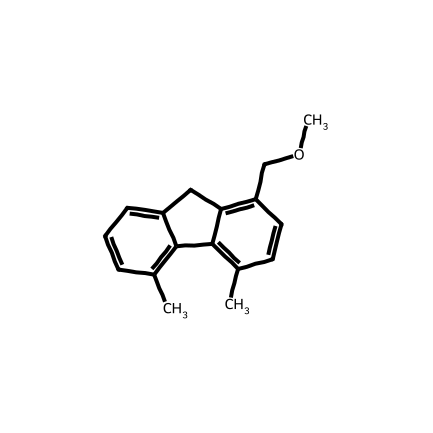 COCc1ccc(C)c2c1Cc1cccc(C)c1-2